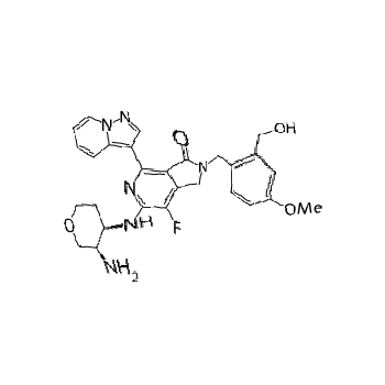 COc1ccc(CN2Cc3c(F)c(N[C@@H]4CCOC[C@@H]4N)nc(-c4cnn5ccccc45)c3C2=O)c(CO)c1